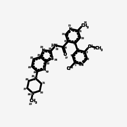 COc1cnc(Cl)cc1-c1cc(C)ncc1C(=O)Nc1nc2ccc(N3CCN(C)CC3)nc2s1